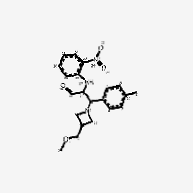 COCC1CN(C(c2ccc(C)cc2)C(C=O)Nc2ccccc2[N+](=O)[O-])C1